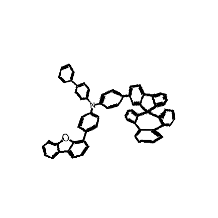 c1ccc(-c2ccc(N(c3ccc(-c4ccc5c(c4)C4(c6ccccc6-c6ccccc6-c6ccccc64)c4ccccc4-5)cc3)c3ccc(-c4cccc5c4oc4ccccc45)cc3)cc2)cc1